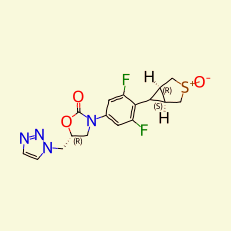 O=C1O[C@@H](Cn2ccnn2)CN1c1cc(F)c(C2[C@H]3C[S+]([O-])C[C@@H]23)c(F)c1